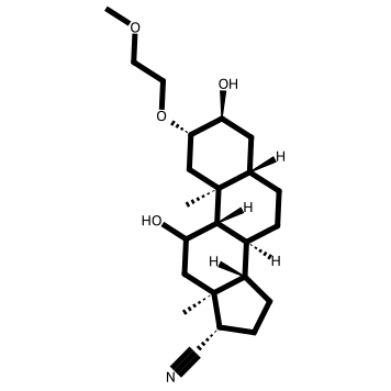 COCCO[C@H]1C[C@@]2(C)[C@@H](CC[C@H]3[C@@H]4CC[C@H](C#N)[C@@]4(C)CC(O)[C@@H]32)C[C@@H]1O